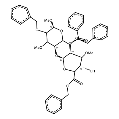 COC1C(OCc2ccccc2)[C@@H](OC)OC(COCc2ccccc2)[C@H]1O[C@@H]1OC(C(=O)OCc2ccccc2)[C@@H](O)C(OC)[C@@H]1OC(=O)c1ccccc1